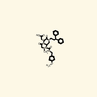 COc1ccc(CNC(=O)N2C3CN(CCC(c4ccccc4)c4ccccc4)C(=O)[C@H](CC(=O)O)N3C(=O)CN2C)cc1